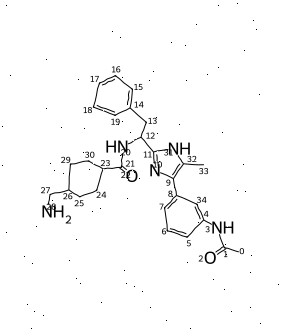 CC(=O)Nc1cccc(-c2nc(C(Cc3ccccc3)NC(=O)C3CCC(CN)CC3)[nH]c2C)c1